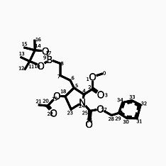 COC(=O)C1C(CCCB2OC(C)(C)C(C)(C)O2)C(OC(C)=O)CN1C(=O)OCc1ccccc1